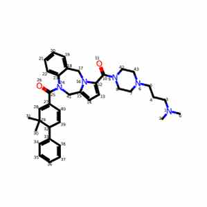 CN(C)CCCN1CCN(C(=O)c2ccc3n2Cc2ccccc2N(C(=O)C2=CC(C)(C)C(c4ccccc4)C=C2)C3)CC1